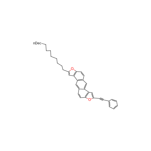 CCCCCCCCCCCCCCCCCCc1cc2c(ccc3cc4c(ccc5oc(C#Cc6ccccc6)cc54)cc32)o1